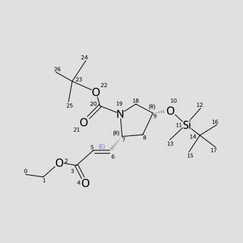 CCOC(=O)/C=C/[C@H]1C[C@@H](O[Si](C)(C)C(C)(C)C)CN1C(=O)OC(C)(C)C